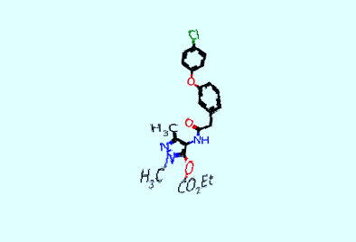 CCOC(=O)Oc1c(NC(=O)Cc2cccc(Oc3ccc(Cl)cc3)c2)c(C)nn1C